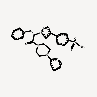 NS(=O)(=O)c1ccc(-c2cn([C@@H](Cc3ccccc3)C(=O)N3CCN(c4ccccn4)CC3)nn2)cc1